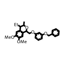 CCC1c2cc(OC)c(OC)cc2C(COc2cccc(OCc3ccccc3)c2)OC1C